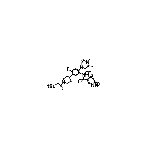 C[C@@H]1CN(c2cc(F)c(C3CCN(C(=O)CC(C)(C)C)CC3)cc2NC(=O)c2c[nH]c(=O)cc2C(F)(F)F)C[C@H](C)N1C